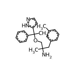 Cc1cccc(CC(C)(N)COC(C)(c2ccccc2)c2ccn[nH]2)c1